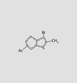 CC(=O)c1ccc2c(Br)c(C)sc2c1